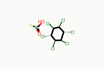 Cl[C@H]1[C@H](Cl)[C@@H](Cl)[C@@H](Cl)[C@H](Cl)[C@H]1Cl.O=[Si](O)F